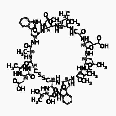 CC(=O)C[C@@H]1NC(=O)[C@H](Cc2c[nH]c3ccccc23)NC(=O)[C@H](C)NC(=O)[C@@H](NC(=O)[C@H](CC(=O)O)NC(C)=O)CSSC[C@@H](C(=O)N[C@H](C(=O)O)[C@@H](C)O)NC(=O)[C@H](Cc2c[nH]c3ccccc23)NC(=O)[C@H](C(C)C)NC(=O)[C@H](CC(C)C)NC(=O)[C@H](CCC(=O)O)NC(=O)CNC(=O)[C@H](CC(C)C)NC1=O